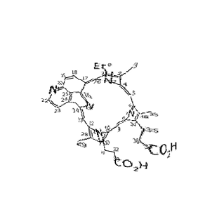 CCc1c(C)c2cc3nc(cc4[nH]c(cc5nc6c(ccc7nccc5c76)c1[nH]2)c(C)c4CCC(=O)O)C(CCC(=O)O)=C3C